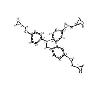 c1cc(OCC2CO2)ccc1CC(c1ccc(OCC2CO2)cc1)c1ccc(OCC2CO2)cc1